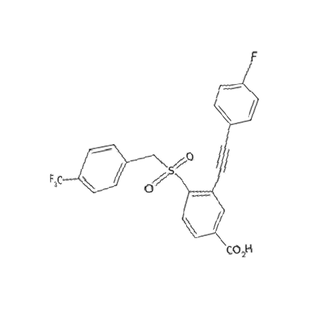 O=C(O)c1ccc(S(=O)(=O)Cc2ccc(C(F)(F)F)cc2)c(C#Cc2ccc(F)cc2)c1